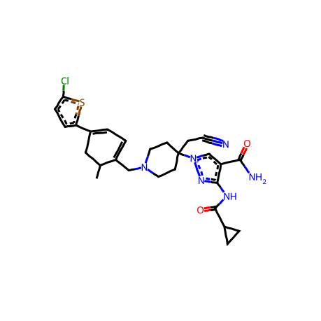 CC1CC(c2ccc(Cl)s2)=CC=C1CN1CCC(CC#N)(n2cc(C(N)=O)c(NC(=O)C3CC3)n2)CC1